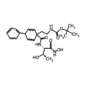 C[C@@H](O)[C@H](NC(=O)C1(CCNC(=O)OC(C)(C)C)C=CC(c2ccccc2)C=C1)C(=O)NO